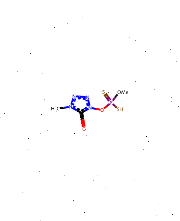 COP(=S)(S)On1nnn(C)c1=O